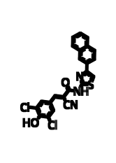 N#C/C(=C\c1cc(Cl)c(O)c(Cl)c1)C(=O)Nc1nc(-c2ccc3ccccc3c2)cs1